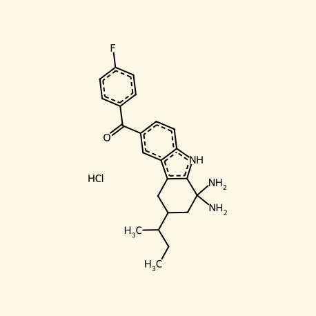 CCC(C)C1Cc2c([nH]c3ccc(C(=O)c4ccc(F)cc4)cc23)C(N)(N)C1.Cl